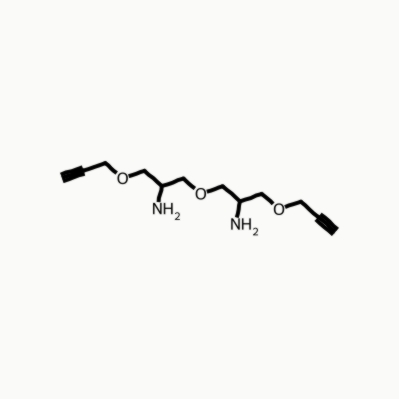 C#CCOCC(N)COCC(N)COCC#C